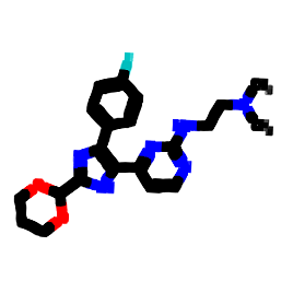 CN(C)CCNc1nccc(-c2[nH]c(C3OCCCO3)nc2-c2ccc(F)cc2)n1